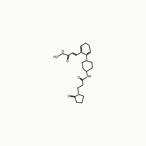 O=C(/C=C/C1=CCCC=C1N1CCC(NC(=O)CCN2CCCC2=O)CC1)NO